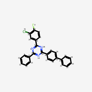 Fc1ccc(-c2nc(-c3ccccc3)nc(-c3ccc(-c4ccccc4)cc3)n2)cc1Cl